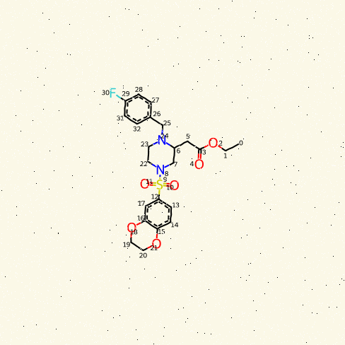 CCOC(=O)CC1CN(S(=O)(=O)c2ccc3c(c2)OCCO3)CCN1Cc1ccc(F)cc1